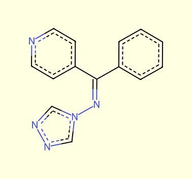 c1ccc(C(=Nn2cnnc2)c2ccncc2)cc1